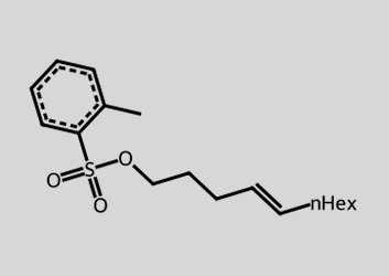 CCCCCCC=CCCCOS(=O)(=O)c1ccccc1C